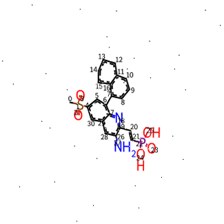 CS(=O)(=O)c1cc(-c2cccc3ccccc23)c2nc(/C=C/P(=O)(O)O)c(N)cc2c1